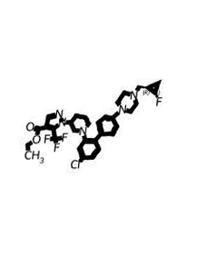 CCOC(=O)c1cnn(C2CCCN(c3cc(Cl)ccc3-c3ccc(N4CCN(C[C@H]5C[C@H]5F)CC4)cc3)C2)c1C(F)(F)F